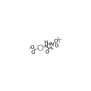 COC(=O)C1CCC(NC(=O)[C@H](C)NC(=O)OC(C)(C)C)CC1